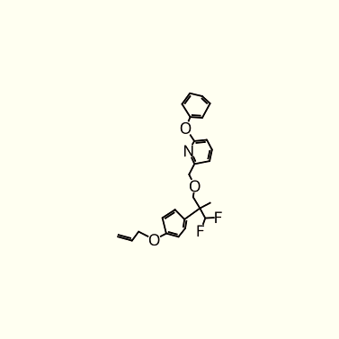 C=CCOc1ccc(C(C)(COCc2cccc(Oc3ccccc3)n2)C(F)F)cc1